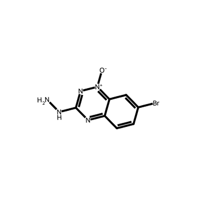 NNc1nc2ccc(Br)cc2[n+]([O-])n1